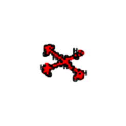 CC(=O)N[C@H]1[C@H](OCCOCCOCCNC(=O)CCO[C@@H]2[C@H](OCCC(=O)NCCOCCOCCO[C@@H]3O[C@H](COC(C)=O)[C@H](OC(C)=O)[C@H](OC(C)=O)[C@H]3NC(C)=O)C=C(C(=O)NCCCCCCNC(=O)OCc3ccccc3)C[C@H]2OCCC(=O)NCCOCCOCCO[C@@H]2O[C@H](COC(C)=O)[C@H](OC(C)=O)[C@H](OC(C)=O)[C@H]2NC(C)=O)O[C@H](COC(C)=O)[C@H](OC(C)=O)[C@@H]1OC(C)=O